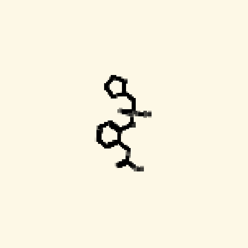 O=C(O)Cc1ccccc1NP(=O)(O)CC1CCCO1